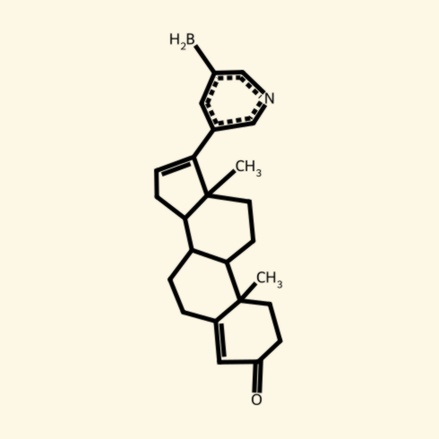 Bc1cncc(C2=CCC3C4CCC5=CC(=O)CCC5(C)C4CCC23C)c1